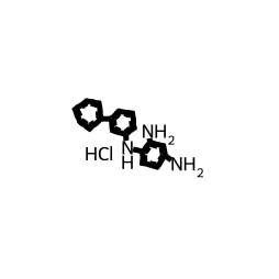 Cl.Nc1ccc(Nc2cccc(-c3ccccc3)c2)c(N)c1